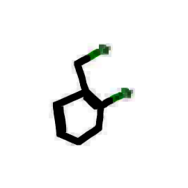 BrCC1=C(Br)CCC=C1